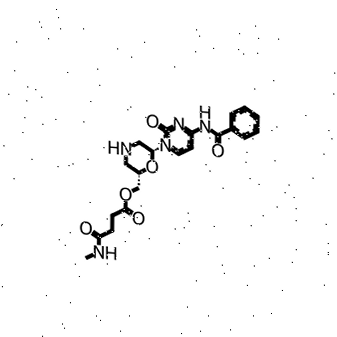 CNC(=O)CCC(=O)OC[C@@H]1CNC[C@H](n2ccc(NC(=O)c3ccccc3)nc2=O)O1